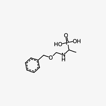 CC(NCOCc1ccccc1)P(=O)(O)O